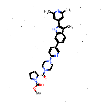 Cc1cc(-c2[nH]c3cc(-c4ccc(N5CCN(C(=O)[C@H]6CCCN6C(=O)OC(C)(C)C)CC5)nc4)ccc3c2C)cc(C)n1